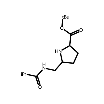 CC(C)C(=O)NCC1CCC(C(=O)OC(C)(C)C)N1